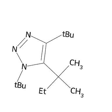 CCC(C)(C)c1c(C(C)(C)C)nnn1C(C)(C)C